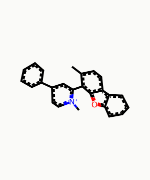 Cc1ccc2c(oc3ccccc32)c1-c1cc(-c2ccccc2)cc[n+]1C